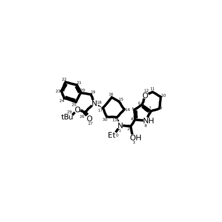 CCN(C(O)c1cc2c([nH]1)CCCO2)[C@H]1CCC[C@@H](N(Cc2ccccc2)C(=O)OC(C)(C)C)C1